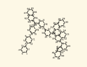 c1ccc(-c2ccc(-c3ccc(N(c4cccc(-c5cccc(N(c6ccc7ccccc7c6)c6ccc(-c7cccc8c7sc7ccccc78)c7ccccc67)c5)c4)c4ccc5ccccc5c4)cc3)cc2)cc1